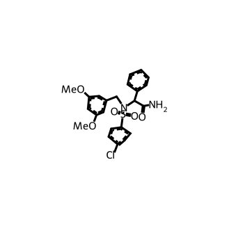 COc1cc(CN(C(C(N)=O)c2ccccc2)S(=O)(=O)c2ccc(Cl)cc2)cc(OC)c1